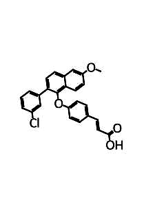 COc1ccc2c(Oc3ccc(C=CC(=O)O)cc3)c(-c3cccc(Cl)c3)ccc2c1